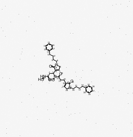 O=C(CC(C1=CCN(CCCCc2ccccc2)C1=O)N(O)C(=O)CCC1=CCN(CCCCc2ccccc2)C1=O)NO